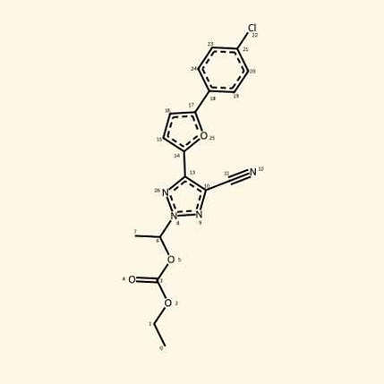 CCOC(=O)OC(C)n1nc(C#N)c(-c2ccc(-c3ccc(Cl)cc3)o2)n1